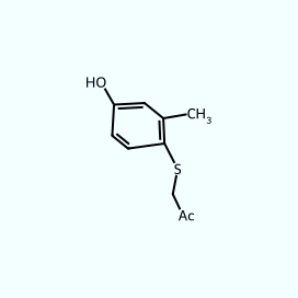 CC(=O)CSc1ccc(O)cc1C